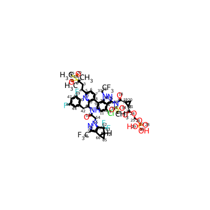 CC(C)(CCc1ccc(-c2ccc(Cl)c3c(N(C(=O)[C@H]4C[C@H]4C(=O)OCOP(=O)(O)O)S(C)(=O)=O)nn(CC(F)(F)F)c23)c([C@H](Cc2cc(F)cc(F)c2)NC(=O)Cn2nc(C(F)(F)F)c3c2C(F)(F)[C@@H]2CC32)n1)S(C)(=O)=O